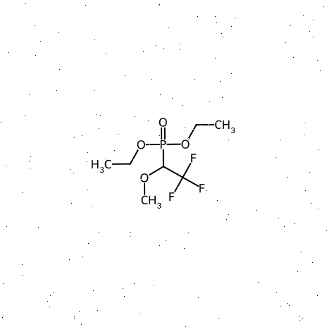 CCOP(=O)(OCC)C(OC)C(F)(F)F